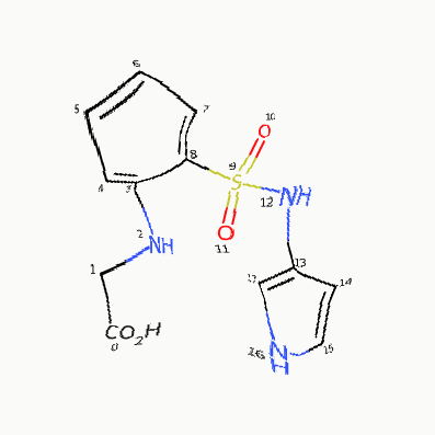 O=C(O)CNc1ccccc1S(=O)(=O)Nc1cc[nH]c1